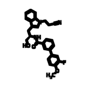 COc1ccc(-c2cccc(C(=O)N[C@@H](CO)Cc3cn(CCC#N)c4ccccc34)c2)cc1F